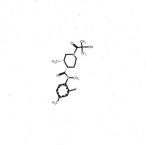 Cc1ccc(N(C)C(=O)[C@H]2CCN(C(=O)C(C)(O)C(F)(F)F)C[C@H]2C)c(F)c1